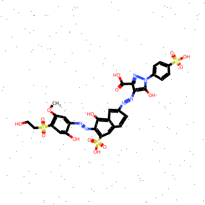 COc1cc(N=Nc2c(S(=O)(=O)O)cc3ccc(N=Nc4c(C(=O)O)nn(-c5ccc(S(=O)(=O)O)cc5)c4O)cc3c2O)c(O)cc1S(=O)(=O)CCO